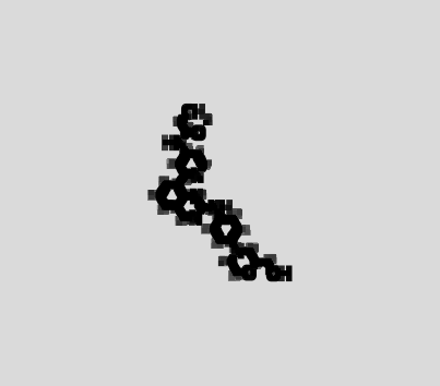 C=CC(=O)Nc1ccnc(-c2cccc3cnc(Nc4ccc(N5CCOC(CO)C5)cc4)nc23)c1